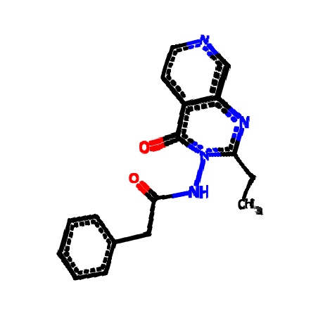 CCc1nc2cnccc2c(=O)n1NC(=O)Cc1ccccc1